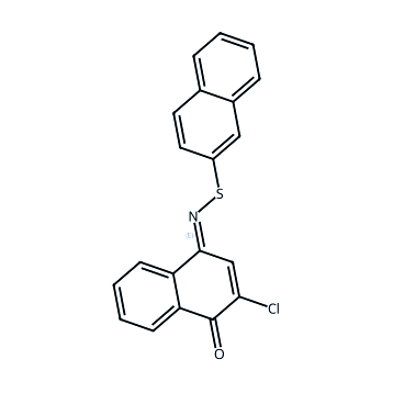 O=C1C(Cl)=C/C(=N\Sc2ccc3ccccc3c2)c2ccccc21